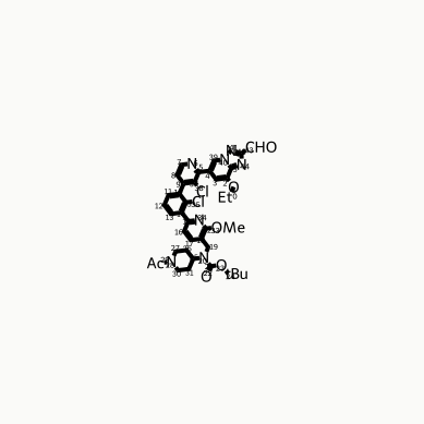 CCOc1cc(-c2nccc(-c3cccc(-c4ccc(CN(C(=O)OC(C)(C)C)C5CCN(C(C)=O)CC5)c(OC)n4)c3Cl)c2Cl)cn2nc(C=O)nc12